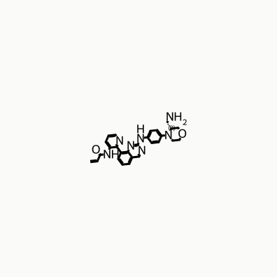 C=CC(=O)Nc1cccnc1-c1cccc2cnc(Nc3ccc(N4CCOC[C@H]4CN)cc3)nc12